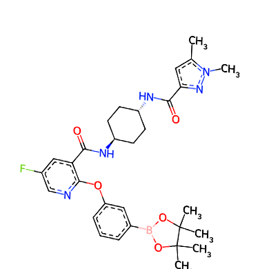 Cc1cc(C(=O)N[C@H]2CC[C@H](NC(=O)c3cc(F)cnc3Oc3cccc(B4OC(C)(C)C(C)(C)O4)c3)CC2)nn1C